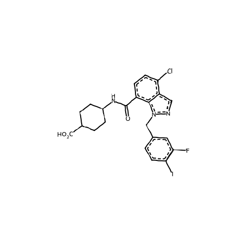 O=C(NC1CCC(C(=O)O)CC1)c1ccc(Cl)c2cnn(Cc3ccc(I)c(F)c3)c12